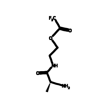 C[C@@H](N)C(=O)NCCOC(=O)C(F)(F)F